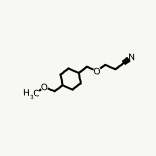 COCC1CCC(COCCC#N)CC1